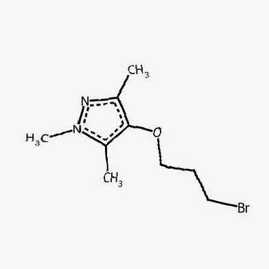 Cc1nn(C)c(C)c1OCCCBr